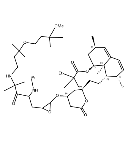 CCC(C)(C)C(=O)O[C@H]1C[C@@H](C)C=C2C=C[C@H](C)[C@H](CC[C@@H]3C[C@@H](OC4OC4CC(NC(C)C)C(=O)C(C)(C)NCCC(C)(C)OCCC(C)(C)OC)CC(=O)O3)[C@]21C